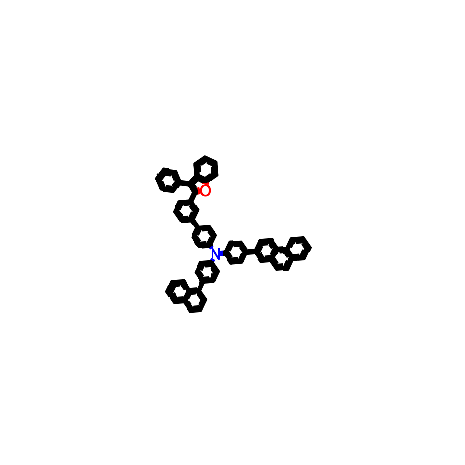 c1ccc(-c2c(-c3cccc(-c4ccc(N(c5ccc(-c6ccc7c(ccc8ccccc87)c6)cc5)c5ccc(-c6cccc7ccccc67)cc5)cc4)c3)oc3ccccc23)cc1